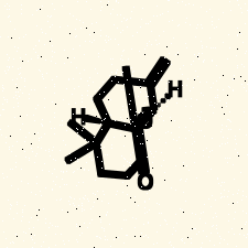 C=C1CC[C@H]2C(C)(C)CCC[C@@]23C(=O)OC[C@@H]13